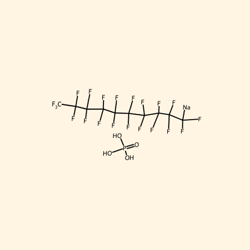 FC(F)(F)C(F)(F)C(F)(F)C(F)(F)C(F)(F)C(F)(F)C(F)(F)C(F)(F)C(F)(F)[C](F)(F)[Na].O=P(O)(O)O